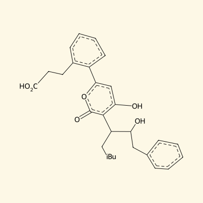 CCC(C)CC(c1c(O)cc(-c2ccccc2CCC(=O)O)oc1=O)C(O)Cc1ccccc1